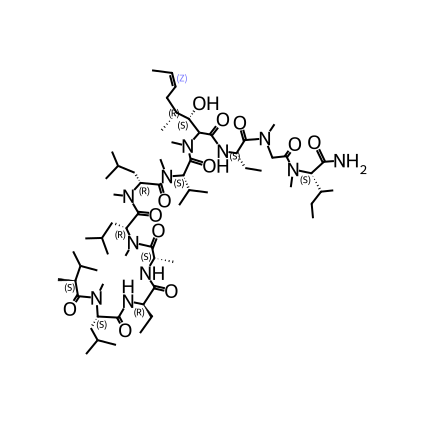 C/C=C\C[C@@H](C)[C@H](O)C(C(=O)N[C@@H](CC)C(=O)N(C)CC(=O)N(C)[C@H](C(N)=O)C(C)CC)N(C)C(=O)[C@H](C(C)C)N(C)C(=O)[C@@H](CC(C)C)N(C)C(=O)[C@@H](CC(C)C)N(C)C(=O)[C@H](C)NC(=O)[C@@H](CC)NC(=O)[C@H](CC(C)C)N(C)C(=O)[C@@H](C)C(C)C